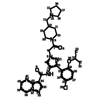 O=C(Nc1cn(CC(=O)N2CCC(CN3CCCC3)CC2)nc1-c1cc(Cl)ccc1OC(F)F)c1cnn2cccnc12